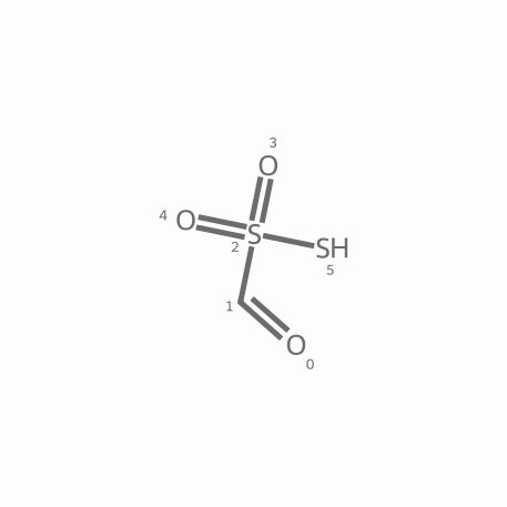 O=CS(=O)(=O)S